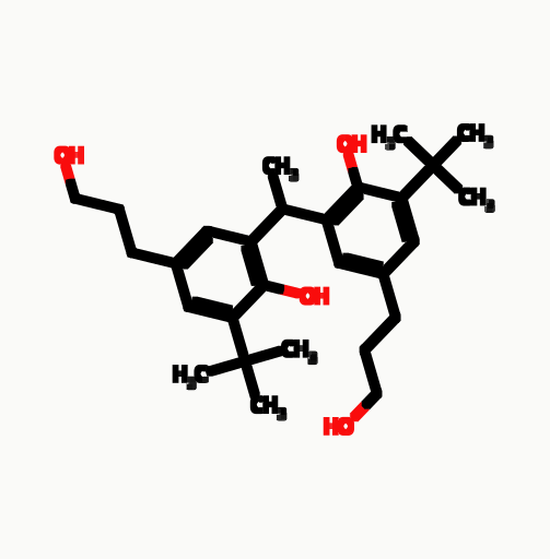 CC(c1cc(CCCO)cc(C(C)(C)C)c1O)c1cc(CCCO)cc(C(C)(C)C)c1O